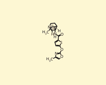 Cc1coc(Oc2ccc(C(=O)N[C@@H]3C4CCN(CC4)[C@H]3C)s2)n1